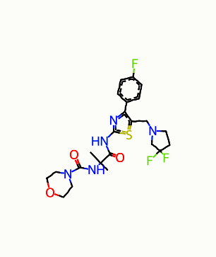 CC(C)(NC(=O)N1CCOCC1)C(=O)Nc1nc(-c2ccc(F)cc2)c(CN2CCC(F)(F)C2)s1